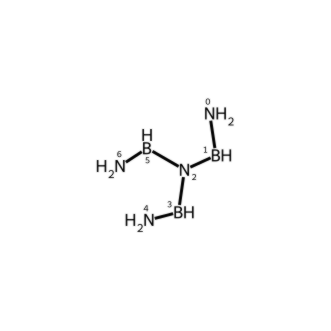 NBN(BN)BN